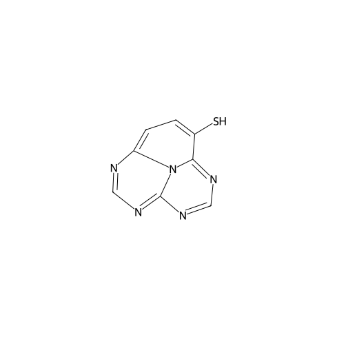 SC1=CC=C2N=CN=C3N=CN=C1N23